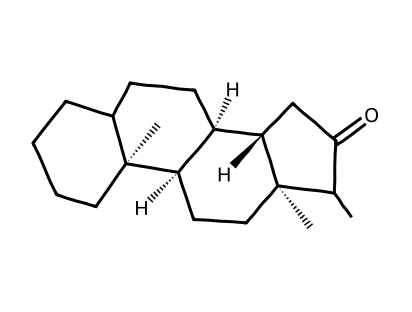 CC1C(=O)C[C@H]2[C@@H]3CCC4CCCC[C@]4(C)[C@@H]3CC[C@]12C